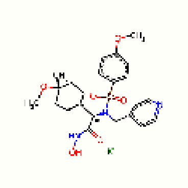 COc1ccc(S(=O)(=O)N(Cc2ccncc2)[C@@H](C(=O)NO)[C@H]2CC[C@](C)(OC)CC2)cc1.Cl